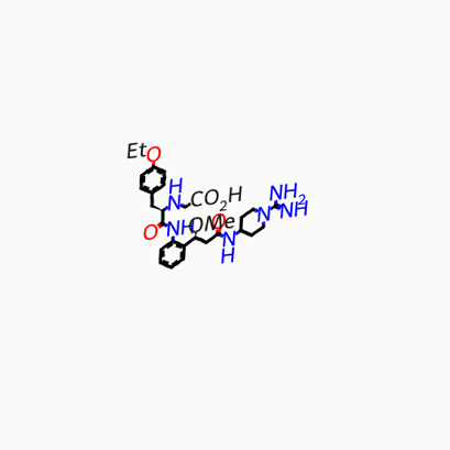 CCOc1ccc(C[C@@H](NCC(=O)O)C(=O)Nc2ccccc2[C@@H](CC(=O)NC2CCN(C(=N)N)CC2)OC)cc1